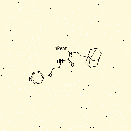 CCCCCN(CCC12CC3CC(CC(C3)C1)C2)C(=O)NCCOc1ccncc1